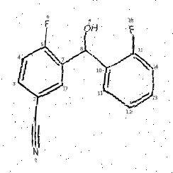 N#Cc1ccc(F)c(C(O)c2ccccc2F)c1